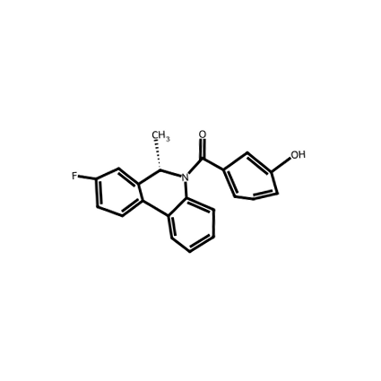 C[C@H]1c2cc(F)ccc2-c2ccccc2N1C(=O)c1cccc(O)c1